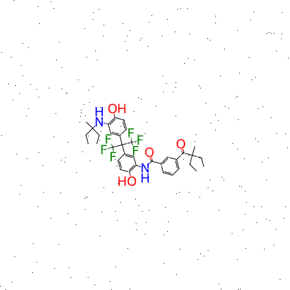 CCC(C)(CC)Nc1cc(C(c2ccc(O)c(NC(=O)c3cccc(C(=O)C(C)(CC)CC)c3)c2)(C(F)(F)F)C(F)(F)F)ccc1O